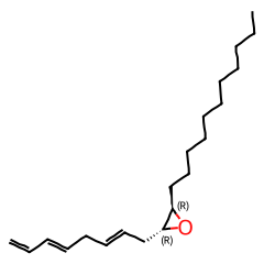 C=CC=CCC=CC[C@H]1O[C@@H]1CCCCCCCCCCC